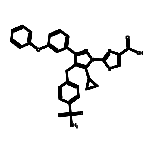 NS(=O)(=O)c1ccc(Cc2c(-c3cccc(Oc4ccccc4)c3)nn(-c3nc(C(=O)O)cs3)c2C2CC2)cc1